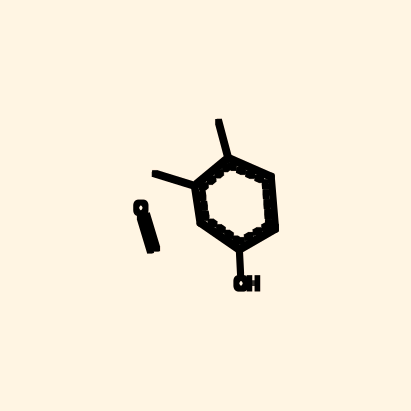 C=O.Cc1ccc(O)cc1C